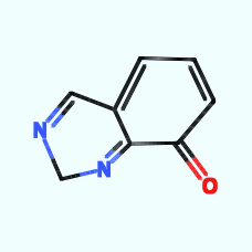 O=C1C=CC=C2C=NCN=C12